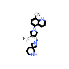 N#Cc1ccc(N2C[C@H](CN3CC4(CCCNC4)C3)[C@@H](C(F)(F)F)C2)c2cccnc12